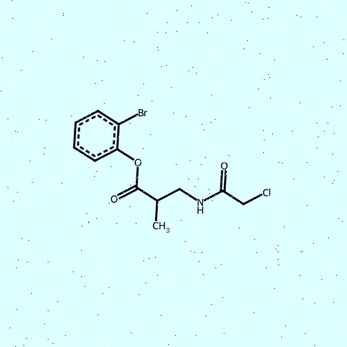 CC(CNC(=O)CCl)C(=O)Oc1ccccc1Br